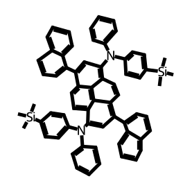 C[Si](C)(C)c1ccc(N(c2ccccc2)c2cc(-c3cccc4ccccc34)c3ccc4c(N(c5ccccc5)c5ccc([Si](C)(C)C)cc5)cc(-c5cccc6ccccc56)c5ccc2c3c54)cc1